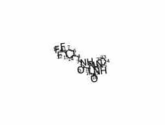 O=C(NCCc1ccc(C(F)(F)F)cc1)c1cc(=O)[nH]c(N2CCCC2)n1